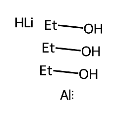 CCO.CCO.CCO.[Al].[LiH]